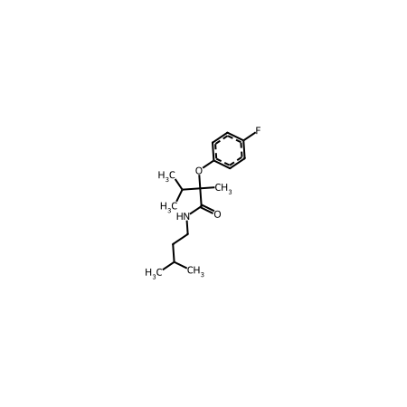 CC(C)CCNC(=O)C(C)(Oc1ccc(F)cc1)C(C)C